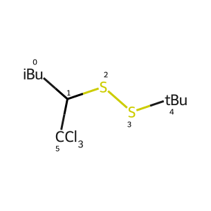 CCC(C)C(SSC(C)(C)C)C(Cl)(Cl)Cl